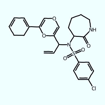 C=CC(C1=COC=C(C2=CC=CCC2)O1)N(C1CCCCNC1=O)S(=O)(=O)c1ccc(Cl)cc1